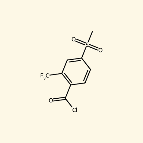 CS(=O)(=O)c1ccc(C(=O)Cl)c(C(F)(F)F)c1